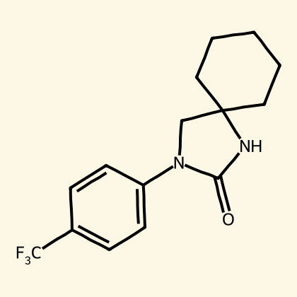 O=C1NC2(CCCCC2)CN1c1ccc(C(F)(F)F)cc1